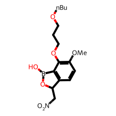 CCCCOCCCOc1c(OC)ccc2c1B(O)OC2C[N+](=O)[O-]